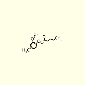 CCCCC(=O)OOc1ccc(C)cc1OC